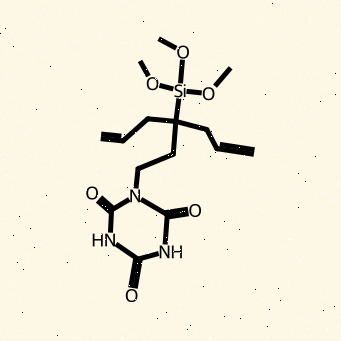 C=CCC(CC=C)(CCn1c(=O)[nH]c(=O)[nH]c1=O)[Si](OC)(OC)OC